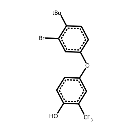 CC(C)(C)c1ccc(Oc2ccc(O)c(C(F)(F)F)c2)cc1Br